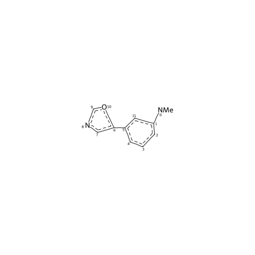 CNc1cccc(-c2cnco2)c1